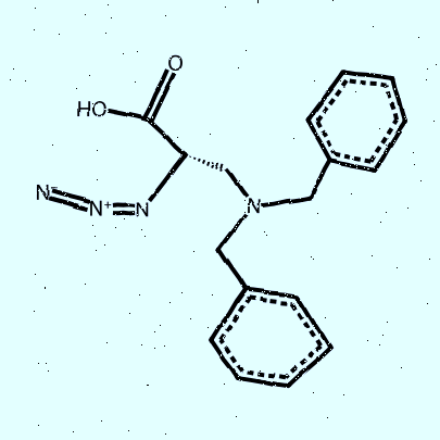 [N-]=[N+]=N[C@@H](CN(Cc1ccccc1)Cc1ccccc1)C(=O)O